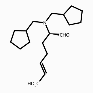 O=C[C@@H](CCC=CC(=O)O)N(CC1CCCC1)CC1CCCC1